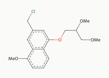 COCC(COc1cc(CCl)cc2c(OC)cccc12)OC